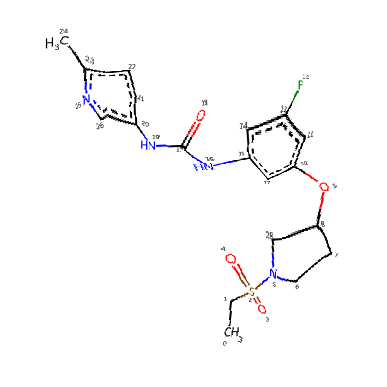 CCS(=O)(=O)N1CCC(Oc2cc(F)cc(NC(=O)Nc3ccc(C)nc3)c2)C1